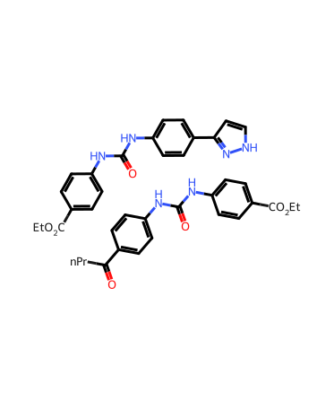 CCCC(=O)c1ccc(NC(=O)Nc2ccc(C(=O)OCC)cc2)cc1.CCOC(=O)c1ccc(NC(=O)Nc2ccc(-c3cc[nH]n3)cc2)cc1